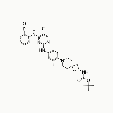 Cc1cc(Nc2ncc(Cl)c(Nc3ccccc3P(C)(C)=O)n2)ccc1N1CCC2(CC1)CC(NC(=O)OC(C)(C)C)C2